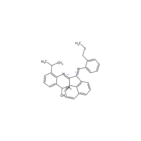 CSCc1ccccc1/N=C1/C(=N/c2c(C(C)C)cccc2C(C)C)c2cccc3cccc1c23